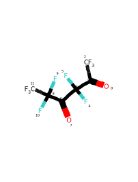 O=C(C(F)(F)F)C(F)(F)C(=O)C(F)(F)C(F)(F)F